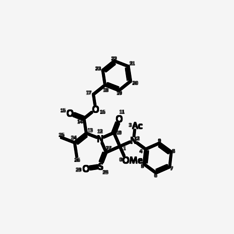 COC1(N(C(C)=O)c2ccccc2)C(=O)N(C(C(=O)OCc2ccccc2)=C(C)C)C1=S=O